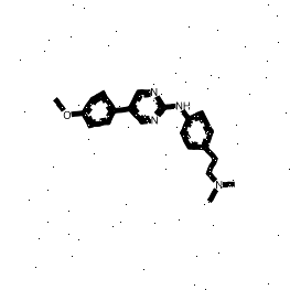 COc1ccc(-c2cnc(Nc3ccc(CCN(C)C)cc3)nc2)cc1